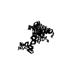 CC(C)C1(C)N=C(c2nc3ccccc3cc2C(=O)O)NC1=O.CCC(CC)Nc1c([N+](=O)[O-])cc(C)c(C)c1[N+](=O)[O-].COc1c(Cl)ccc(Cl)c1C(=O)O